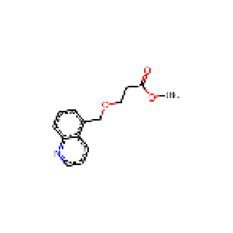 CC(C)(C)OC(=O)CCOCc1cccc2ncccc12